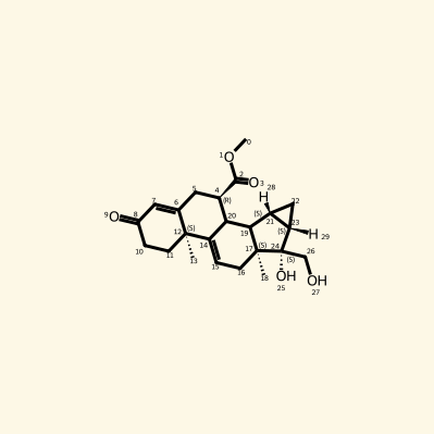 COC(=O)[C@@H]1CC2=CC(=O)CC[C@]2(C)C2=CC[C@@]3(C)C(C21)[C@@H]1C[C@@H]1[C@@]3(O)CO